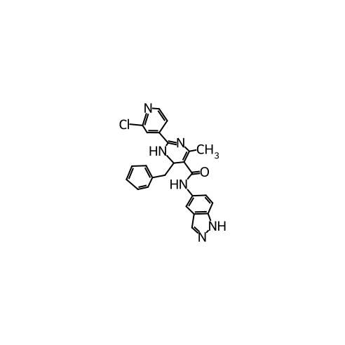 CC1=C(C(=O)Nc2ccc3[nH]ncc3c2)C(Cc2ccccc2)NC(c2ccnc(Cl)c2)=N1